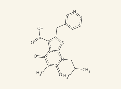 CC(C)Cn1c(=O)n(C)c(=O)c2c(S(=O)O)c(Cc3cccnc3)sc21